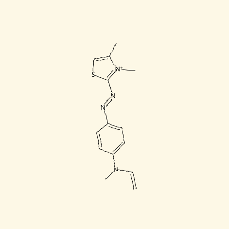 C=CN(C)c1ccc(N=Nc2scc(C)[n+]2C)cc1